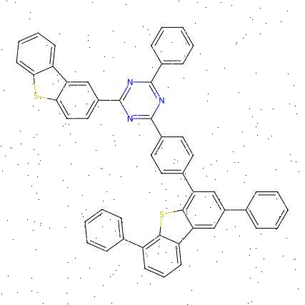 c1ccc(-c2cc(-c3ccc(-c4nc(-c5ccccc5)nc(-c5ccc6sc7ccccc7c6c5)n4)cc3)c3sc4c(-c5ccccc5)cccc4c3c2)cc1